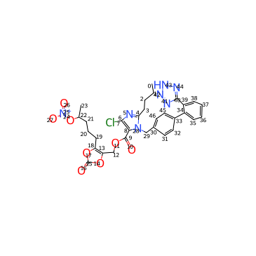 CCCCc1nc(Cl)c(C(=O)OCc2oc(=O)oc2CCCC(C)O[N+](=O)[O-])n1Cc1ccc(-c2ccccc2-c2nn[nH]n2)cc1